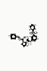 O=C(Nc1cccc(S(=O)(=O)c2ccccc2)c1)[C@@H]1CCCN1C(=O)OCc1ccccc1